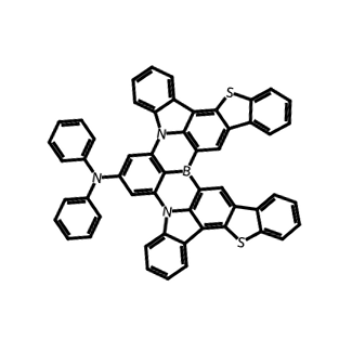 c1ccc(N(c2ccccc2)c2cc3c4c(c2)-n2c5ccccc5c5c6sc7ccccc7c6cc(c52)B4c2cc4c5ccccc5sc4c4c5ccccc5n-3c24)cc1